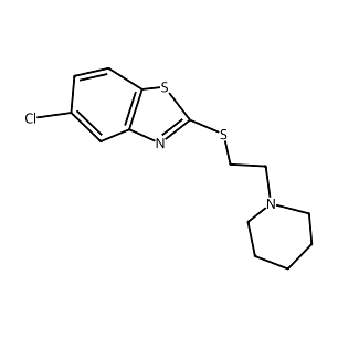 Clc1ccc2sc(SCCN3CCCCC3)nc2c1